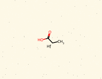 CCC(=O)O.[Hf]